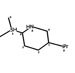 CC(C)C1CCC([SH](C)C)NC1